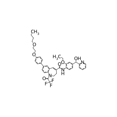 CCCCOCCOc1ccc(-c2ccc3c(c2)C=C(C(=O)Nc2ccc(C(O)c4ccccn4)cc2OCC)CCN3C(=O)C(F)(F)F)cc1